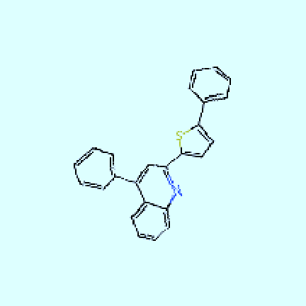 c1ccc(-c2ccc(-c3cc(-c4ccccc4)c4ccccc4n3)s2)cc1